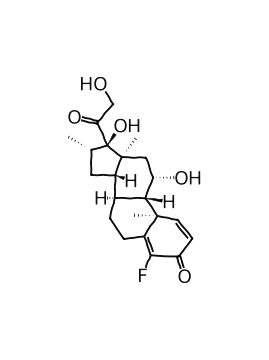 C[C@H]1C[C@H]2[C@@H]3CCC4=C(F)C(=O)C=C[C@]4(C)[C@H]3[C@@H](O)C[C@]2(C)[C@@]1(O)C(=O)CO